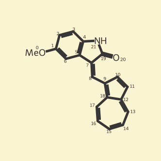 COc1ccc2c(c1)C(=Cc1ccc3cccccc1-3)C(=O)N2